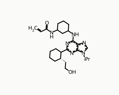 C=CC(=O)NC1CCCC(Nc2nc(C3CCCC[C@H]3CCO)nc3c2ncn3C(C)C)C1